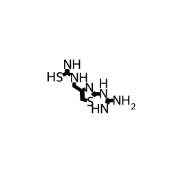 N=C(N)Nc1nc(CNC(=N)S)cs1